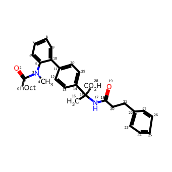 CCCCCCCCC(=O)N(C)c1ccccc1-c1ccc(C(C)(NC(=O)CCc2ccccc2)C(=O)O)cc1